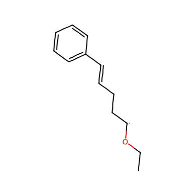 CCO[CH]CCC=Cc1ccccc1